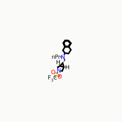 CCCN(C[C@@H]1[C@H]2CN(S(=O)(=O)C(F)(F)F)C[C@@H]12)C1CCc2ccccc2C1